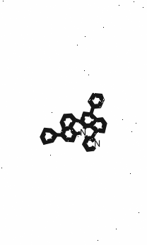 c1ccc(-c2ccc3c4c(cccc24)-c2cc(-c4ccccc4)c4cccc5c4c2N3c2cccnc2-5)cc1